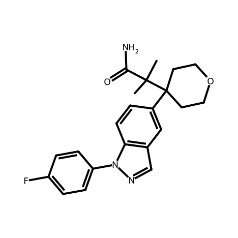 CC(C)(C(N)=O)C1(c2ccc3c(cnn3-c3ccc(F)cc3)c2)CCOCC1